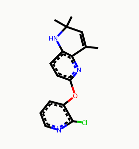 CC1=CC(C)(C)Nc2ccc(Oc3cccnc3Cl)nc21